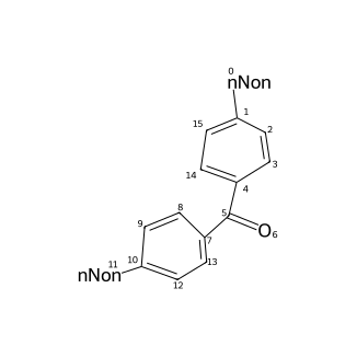 CCCCCCCCCc1ccc(C(=O)c2ccc(CCCCCCCCC)cc2)cc1